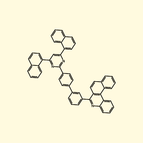 c1cc(-c2ccc(-c3nc(-c4cccc5ccccc45)cc(-c4cccc5ccccc45)n3)cc2)cc(-c2nc3ccccc3c3c2ccc2ccccc23)c1